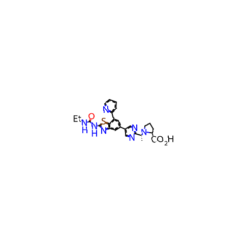 CCNC(=O)Nc1nc2cc(-c3cnc([C@@H](C)N4CCC[C@H]4C(=O)O)nc3)cc(-c3ccccn3)c2s1